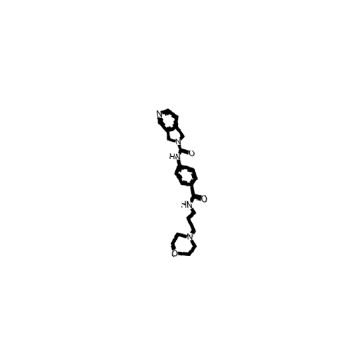 O=C(NCCCN1CCOCC1)c1ccc(NC(=O)N2Cc3ccncc3C2)cc1